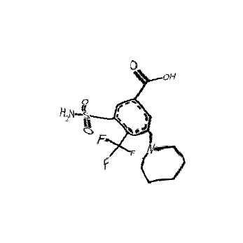 NS(=O)(=O)c1cc(C(=O)O)cc(N2CCCCC2)c1C(F)(F)F